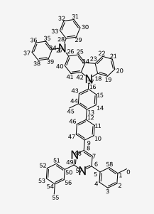 Cc1cccc(-c2cc(-c3ccc(-c4ccc(-n5c6ccccc6c6cc(N(c7ccccc7)c7ccccc7)ccc65)cc4C)cc3)nc(-c3cccc(C)c3)n2)c1